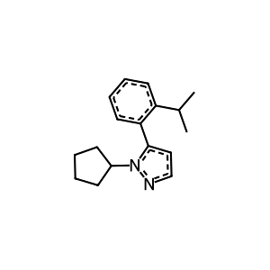 CC(C)c1ccccc1-c1ccnn1C1CCCC1